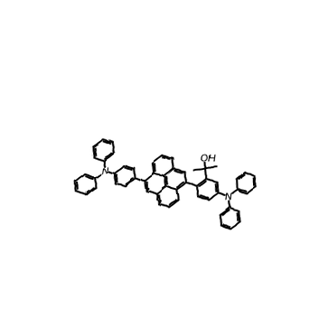 CC(C)(O)c1cc(N(c2ccccc2)c2ccccc2)ccc1-c1cc2cccc3c(-c4ccc(N(c5ccccc5)c5ccccc5)cc4)cc4cccc1c4c23